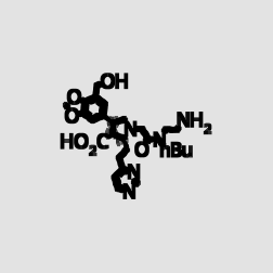 CCCCN(CCN)C(=O)CN1C[C@H](c2cc(CO)c3c(c2)OCO3)[C@@H](C(=O)O)[C@@H]1CCc1ccncn1